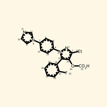 CCc1nn(-c2ccc(-n3ccnc3)cc2)c(-c2ccccc2F)c1OC(=O)O